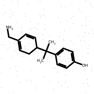 CC(C)(c1ccc(O)cc1)C1C=CC(CN)=CC1